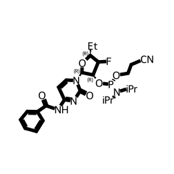 CC[C@H]1O[C@@H](n2ccc(NC(=O)c3ccccc3)nc2=O)[C@@H](OP(OCCC#N)N(C(C)C)C(C)C)C1F